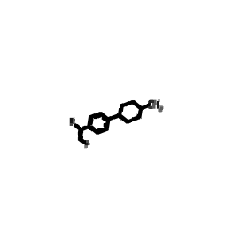 CC1CCC(c2ccc(/C(F)=C\F)cc2)CC1